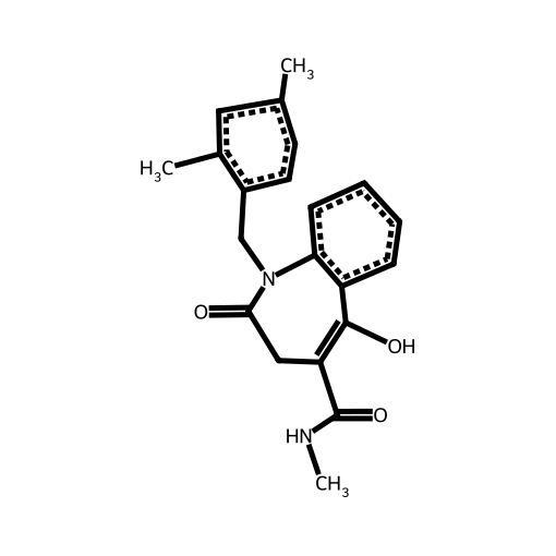 CNC(=O)C1=C(O)c2ccccc2N(Cc2ccc(C)cc2C)C(=O)C1